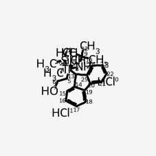 Cl.Cl.[CH2]=[Ti]([CH3])([CH2]CO)([NH]C(C)(C)C)([CH]1c2ccccc2-c2ccccc21)[SiH](C)C